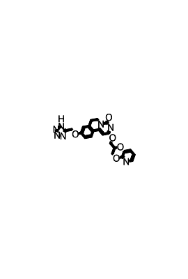 O=c1nc(OCC2COc3ncccc3O2)cc2n1CCc1cc(OCc3nnn[nH]3)ccc1-2